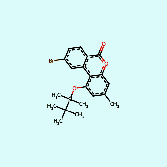 Cc1cc(O[Si](C)(C)C(C)(C)C)c2c(c1)oc(=O)c1ccc(Br)cc12